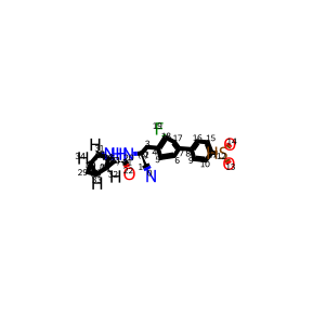 N#C[C@H](Cc1ccc(-c2ccc([SH](=O)=O)cc2)cc1F)NC(=O)[C@H]1N[C@H]2C[C@@H]1[C@@H]1C[C@@H]12